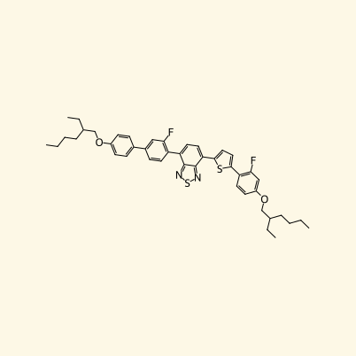 CCCCC(CC)COc1ccc(-c2ccc(-c3ccc(-c4ccc(-c5ccc(OCC(CC)CCCC)cc5F)s4)c4nsnc34)c(F)c2)cc1